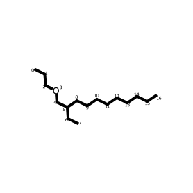 [CH2]CCOCC(CC)CCCCCCCCC